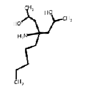 CCCCCC(N)(CC(C)O)CC(C)O